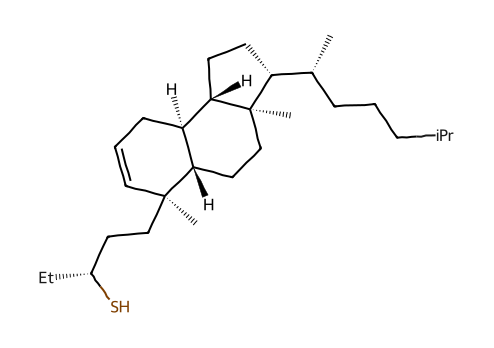 CC[C@@H](S)CC[C@@]1(C)C=CC[C@H]2[C@@H]3CC[C@H]([C@H](C)CCCC(C)C)[C@@]3(C)CC[C@@H]21